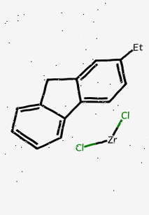 CCc1ccc2c(c1)[CH]c1ccccc1-2.[Cl][Zr][Cl]